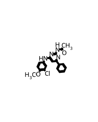 COc1ccc(Nc2cc(-c3ccccc3)nc(NC(C)=O)n2)cc1Cl